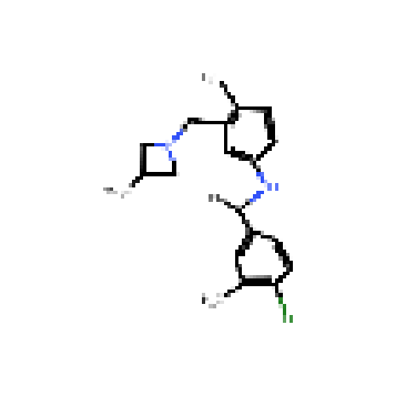 CCC(Nc1ccc(C)c(CN2CC(C(=O)O)C2)c1)c1ccc(Cl)c(C)c1